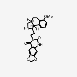 COc1cccc2c1CC[C@H]1CNC(CCn3c(=O)[nH]c4cc5c(cc4c3=O)OCO5)[C@@H]21